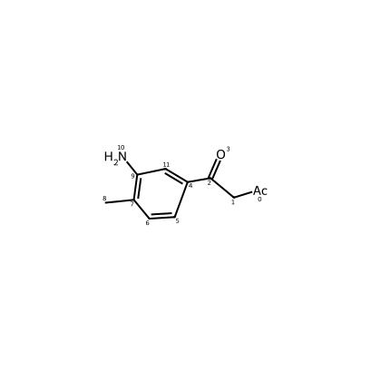 CC(=O)CC(=O)c1ccc(C)c(N)c1